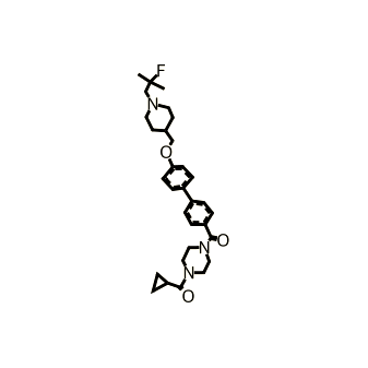 CC(C)(F)CN1CCC(COc2ccc(-c3ccc(C(=O)N4CCN(C(=O)C5CC5)CC4)cc3)cc2)CC1